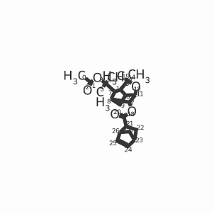 CC(=O)OC(C)(C)C1C2CC3C(OC(C)(C)C31)C2OC(=O)C1CC2C=CC1C2